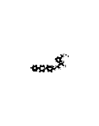 CCc1nc2c(C(C)(F)F)cccn2c1C(=O)NCc1ccc(N2CCC(c3ccccc3)CC2)cc1